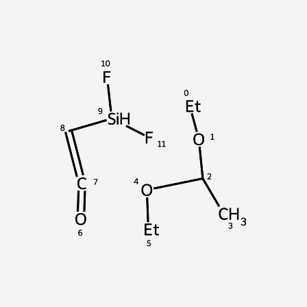 CCOC(C)OCC.O=C=C[SiH](F)F